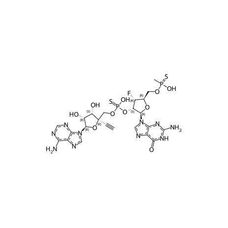 C#C[C@]1(COP(O)(=S)O[C@@H]2[C@H](F)[C@@H](COP(C)(O)=S)O[C@H]2n2cnc3c(=O)[nH]c(N)nc32)O[C@@H](n2cnc3c(N)ncnc32)[C@H](O)[C@@H]1O